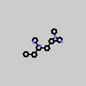 c1ccc(-c2cccc(-c3cc(-c4cccc(-c5ccc6c(c5)c5cnccc5n6-c5ccccc5)c4)nc(-c4ccccn4)c3)c2)cc1